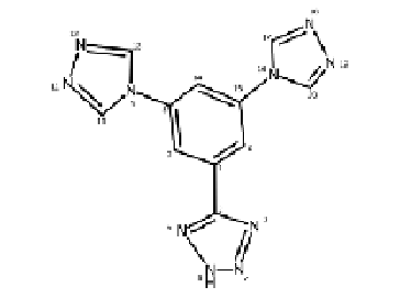 c1c(-c2nn[nH]n2)cc(-n2cnnc2)cc1-n1cnnc1